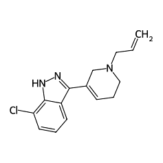 C=CCN1CCC=C(c2n[nH]c3c(Cl)cccc23)C1